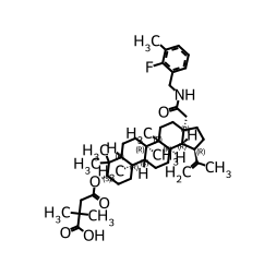 C=C(C)[C@@H]1CC[C@]2(CC(=O)NCc3cccc(C)c3F)CC[C@]3(C)[C@H](CC[C@@H]4[C@@]5(C)CC[C@H](OC(=O)CC(C)(C)C(=O)O)C(C)(C)[C@@H]5CC[C@]43C)[C@@H]12